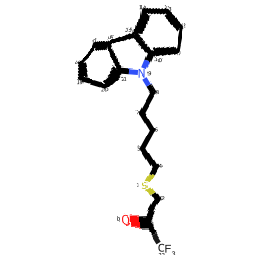 O=C(CSCCCCCn1c2ccccc2c2ccccc21)C(F)(F)F